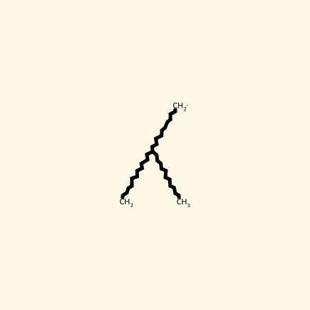 [CH2]CCCCCCCCCCC(CCCCCCCCCCCC)CCCCCCCCCCCC